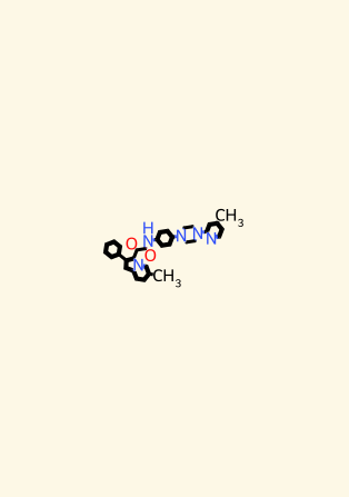 Cc1ccnc(N2CCN(c3ccc(NC(=O)C(=O)c4c(-c5ccccc5)cc5ccc(C)cn45)cc3)CC2)c1